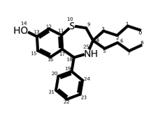 CCCCC1(CCCC)CSc2cc(O)ccc2C(c2ccccc2)N1